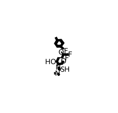 Cc1ccc(CO[C@H]([C@@H]2C[C@H](O)[C@@H](/N=C(\S)N(C)C)CO2)C(F)(F)F)cc1